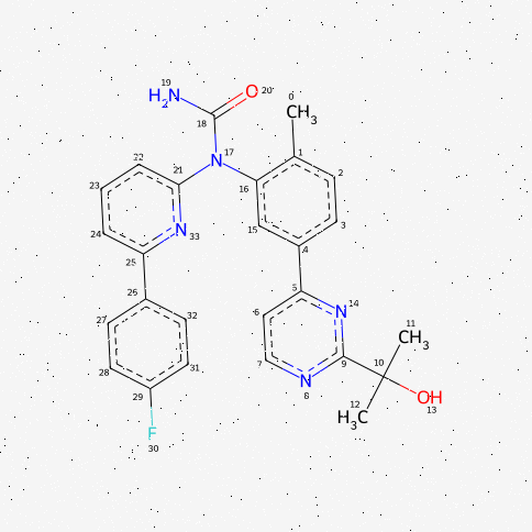 Cc1ccc(-c2ccnc(C(C)(C)O)n2)cc1N(C(N)=O)c1cccc(-c2ccc(F)cc2)n1